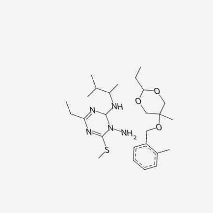 CCC1=NC(NC(C)C(C)C)N(N)C(SC)=N1.CCC1OCC(C)(OCc2ccccc2C)CO1